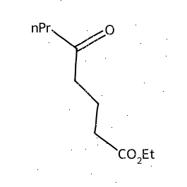 CCCC(=O)CCCC(=O)OCC